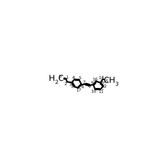 C=CCc1ccc(C#Cc2c[c]cc(CC)c2)cc1